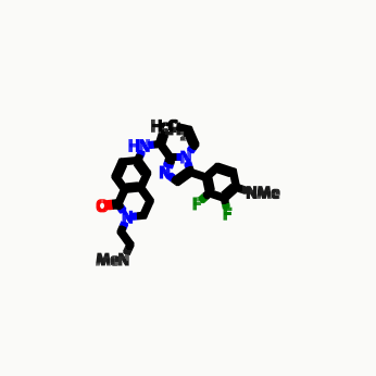 C=C(Nc1ccc2c(c1)CCN(CCNC)C2=O)c1ncc(-c2ccc(NC)c(F)c2F)n1/C=C\C